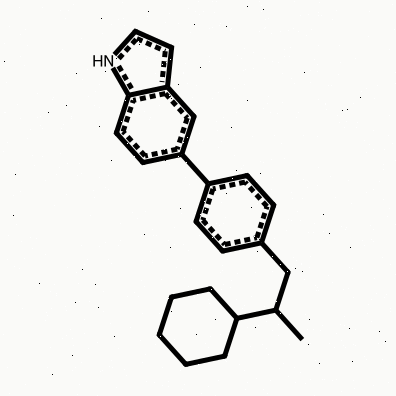 CC(Cc1ccc(-c2ccc3[nH]ccc3c2)cc1)C1CCCCC1